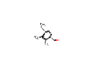 CCc1ccc(C=O)c(C)c1C